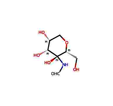 O=CN[C@]1(O)[C@H](O)[C@H](O)CO[C@@H]1CO